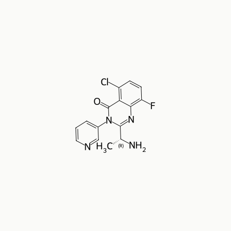 C[C@@H](N)c1nc2c(F)ccc(Cl)c2c(=O)n1-c1cccnc1